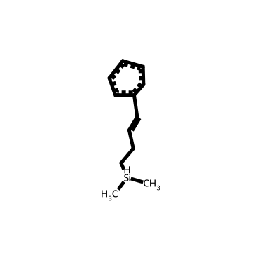 C[SiH](C)CCC=Cc1ccccc1